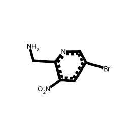 NCc1ncc(Br)cc1[N+](=O)[O-]